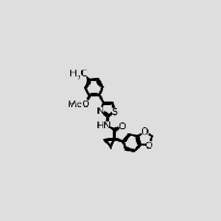 COc1cc(C)ccc1-c1csc(NC(=O)C2(c3ccc4c(c3)OCO4)CC2)n1